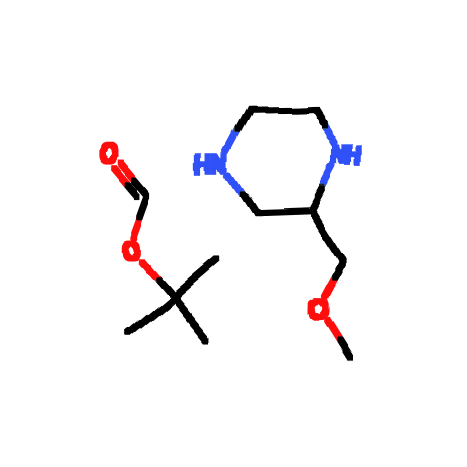 CC(C)(C)OC=O.COCC1CNCCN1